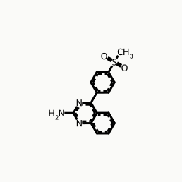 CS(=O)(=O)c1ccc(-c2nc(N)nc3ccccc23)cc1